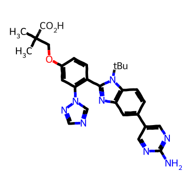 CC(C)(COc1ccc(-c2nc3cc(-c4cnc(N)nc4)ccc3n2C(C)(C)C)c(-n2cncn2)c1)C(=O)O